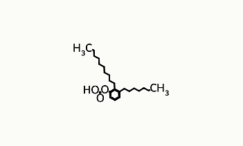 CCCCCCCCCCc1c(CCCCCCC)cccc1OC(=O)O